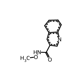 CONC(=O)c1cnc2ccccc2c1